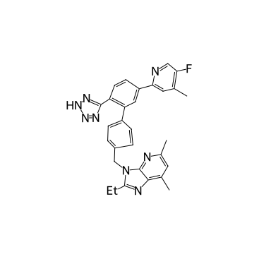 CCc1nc2c(C)cc(C)nc2n1Cc1ccc(-c2cc(-c3cc(C)c(F)cn3)ccc2-c2nn[nH]n2)cc1